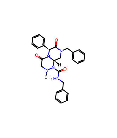 CN1CC(=O)N2[C@@H](c3ccccc3)C(=O)N(Cc3ccccc3)C[C@@H]2N1C(=O)NCc1ccccc1